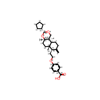 C=C1CCC2[C@]3(C)CO[C@@H](C4CCCC4)O[C@@H]3CC[C@@]2(C)[C@@H]1CCOc1ccc(C(=O)O)cc1